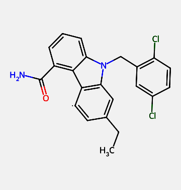 CCc1c[c]c2c3c(C(N)=O)cccc3n(Cc3cc(Cl)ccc3Cl)c2c1